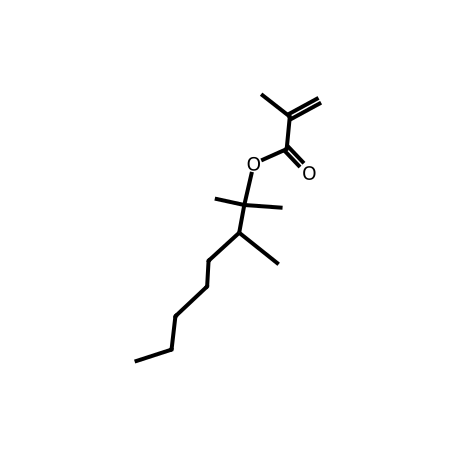 C=C(C)C(=O)OC(C)(C)C(C)CCCCC